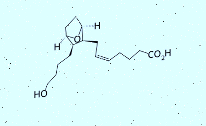 O=C(O)CCC/C=C\C[C@H]1[C@@H](CCCCO)[C@H]2CC[C@@H]1O2